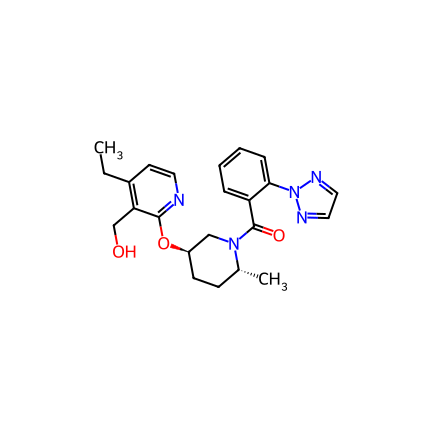 CCc1ccnc(O[C@@H]2CC[C@@H](C)N(C(=O)c3ccccc3-n3nccn3)C2)c1CO